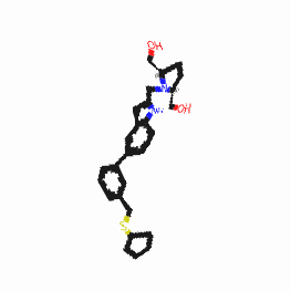 OC[C@@H]1CC[C@H](CO)N1Cc1cc2cc(-c3cccc(CSC4CCCC4)c3)ccc2[nH]1